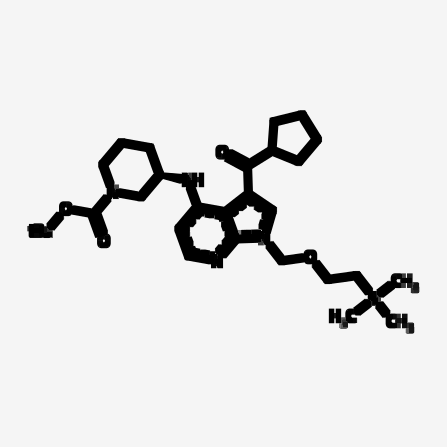 CC(C)(C)OC(=O)N1CCC[C@@H](Nc2ccnc3c2c(C(=O)C2CCCC2)cn3COCC[Si](C)(C)C)C1